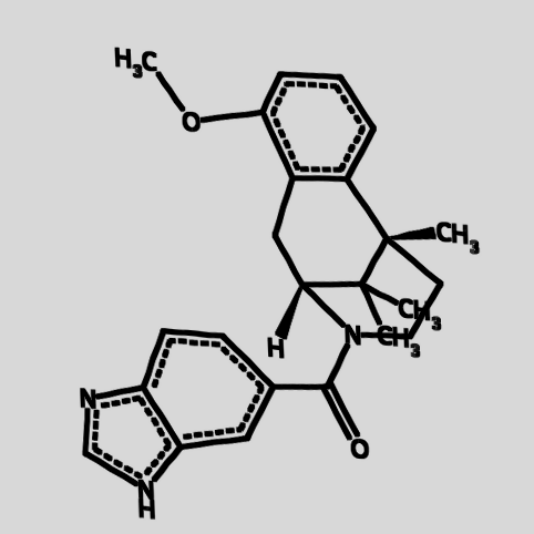 COc1cccc2c1C[C@H]1N(C(=O)c3ccc4nc[nH]c4c3)CC[C@]2(C)C1(C)C